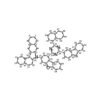 c1ccc2cc3c(cc2c1)c1c2ccccc2ccc1n3-c1cc(-c2nc(-c3ccc4sc5ccccc5c4c3)nc(-c3cccc4ccccc34)n2)c2c(c1)oc1ccccc12